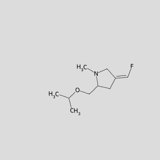 CC(C)OCC1C/C(=C/F)CN1C